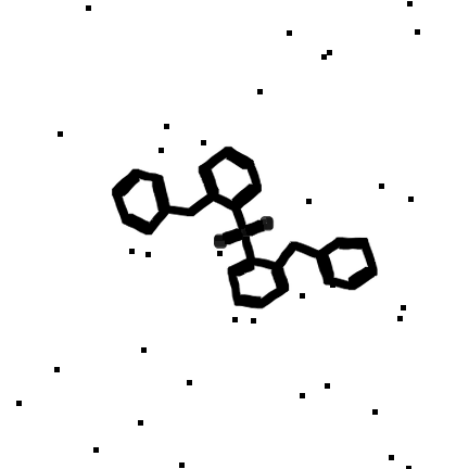 O=S(=O)(c1ccccc1Cc1ccccc1)c1ccccc1Cc1ccccc1